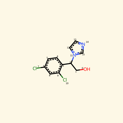 OCC(c1ccc(Cl)cc1Cl)n1ccnc1